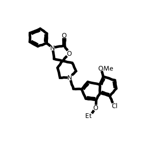 CCOc1cc(CN2CCC3(CC2)CN(c2ccccc2)C(=O)O3)cc2c(OC)ccc(Cl)c12